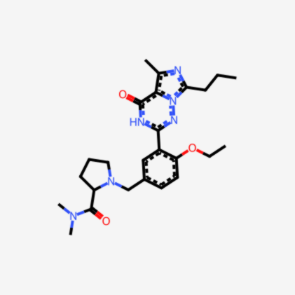 CCCc1nc(C)c2c(=O)[nH]c(-c3cc(CN4CCCC4C(=O)N(C)C)ccc3OCC)nn12